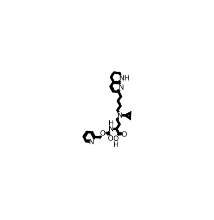 O=C(NC(CCN(CCCCc1ccc2c(n1)NCCC2)C1CC1)C(=O)O)OCc1ccccn1